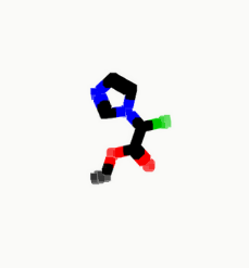 CC(C)(C)OC(=O)C(Cl)n1ccnc1